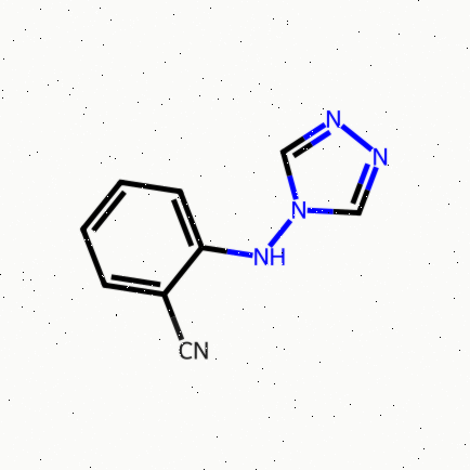 N#Cc1ccccc1Nn1cnnc1